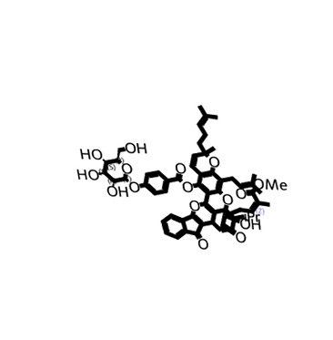 COC(=O)/C(C)=C\CC1(O)C(=O)C2CC(C(C)C)C13Oc1c(CC=C(C)C)c4c(c(OC(=O)c5ccc(O[C@@H]6O[C@H](CO)[C@@H](O)[C@H](O)[C@H]6O)cc5)c1C1=C3C2C2=C(O1)c1ccccc1C2=O)C=CC(C)(CCC=C(C)C)O4